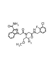 COCC(C)N(CC(=O)NCc1cccc(Cl)c1F)C(=O)Cn1nc(C(N)=O)c2ccccc21